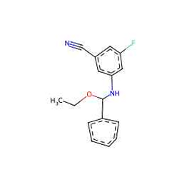 CCOC(Nc1cc(F)cc(C#N)c1)c1ccccc1